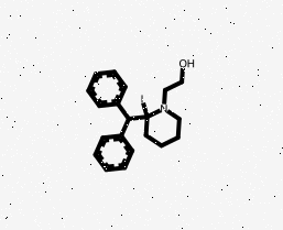 OCCN1CCCCC1(I)C(c1ccccc1)c1ccccc1